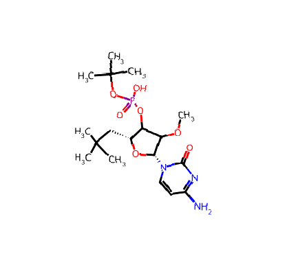 COC1C(OP(=O)(O)OC(C)(C)C)[C@@H](CC(C)(C)C)O[C@H]1n1ccc(N)nc1=O